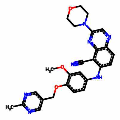 COc1cc(Nc2ccc3ncc(N4CCOCC4)nc3c2C#N)ccc1OCc1cnc(C)nc1